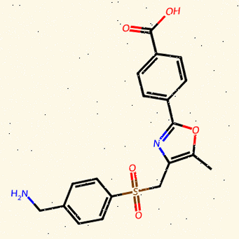 Cc1oc(-c2ccc(C(=O)O)cc2)nc1CS(=O)(=O)c1ccc(CN)cc1